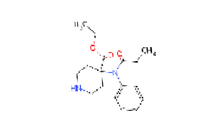 CCOC(=O)C1(N(C(=O)CC)c2ccccc2)CCNCC1